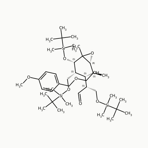 COc1ccc(COC[C@H](C)[C@H]2OC2(C)[C@@H](O[Si](C)(C)C(C)(C)C)[C@@H](CO[Si](C)(C)C(C)(C)C)[C@H](O)[C@@H](C=O)CO[Si](C)(C)C(C)(C)C)cc1